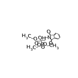 CCOC(=O)C(O)(CCN1C(=O)c2ccccc2C1=O)P(=O)(OCC)OCC